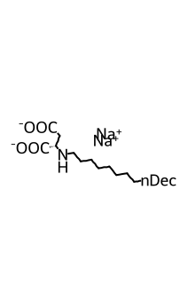 CCCCCCCCCCCCCCCCCCN[C@@H](CC(=O)[O-])C(=O)[O-].[Na+].[Na+]